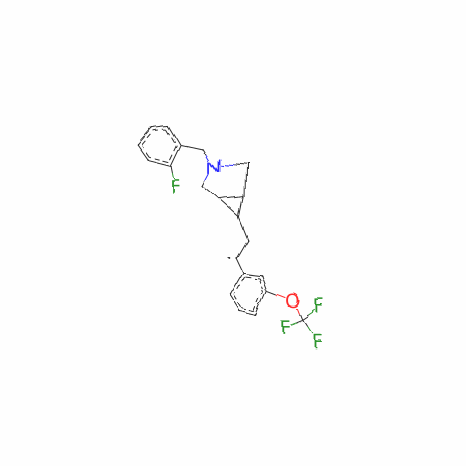 Fc1ccccc1CN1CC2C(C[CH]c3cccc(OC(F)(F)F)c3)C2C1